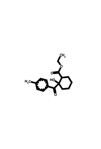 CCOC(=O)C1CCCCC1(O)C(=O)c1ccc(C)cc1